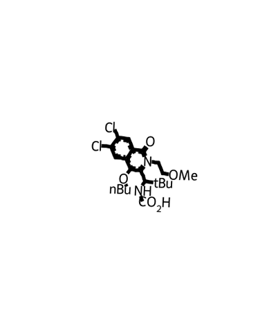 CCCCOc1c(C(NC(=O)O)C(C)(C)C)n(CCOC)c(=O)c2cc(Cl)c(Cl)cc12